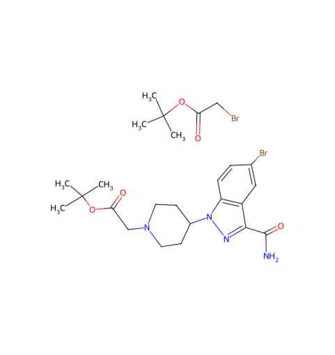 CC(C)(C)OC(=O)CBr.CC(C)(C)OC(=O)CN1CCC(n2nc(C(N)=O)c3cc(Br)ccc32)CC1